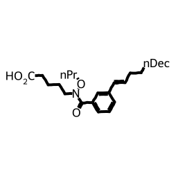 CCCCCCCCCCCCC=Cc1cccc(C(=O)N(CCCCC(=O)O)OCCC)c1